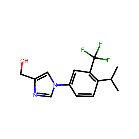 CC(C)c1ccc(-n2cnc(CO)c2)cc1C(F)(F)F